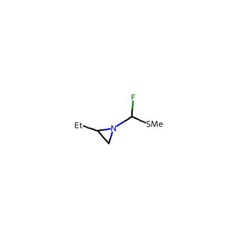 CCC1CN1C(F)SC